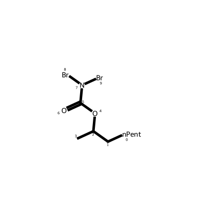 CCCCCCC(C)OC(=O)N(Br)Br